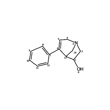 OC1CN2CC=C(c3ccccc3)C1C2